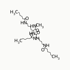 CCCCCC(=O)NCCCCC(NC(=O)CCCCC)C(=O)NC(CCCCNC(=O)CCCCC)C(=O)NC